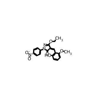 CCOC1=NN(c2ccc([N+](=O)[O-])cc2)C(=O)C1=Cc1c(O)cccc1OC